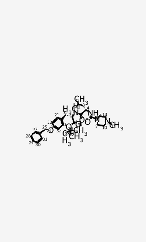 CC(C)C[C@H](NC(=O)N1CCN(C)CC1)C(=O)N[C@@H](Cc1ccc(OCc2ccccc2)cc1)C(=O)OC(C)(C)C